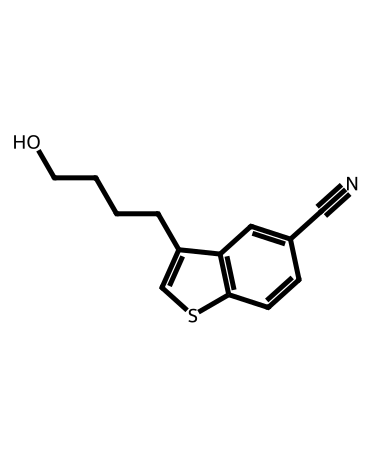 N#Cc1ccc2scc(CCCCO)c2c1